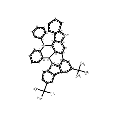 CC(C)(C)c1ccc2c(c1)c1cc(C(C)(C)C)cc3c1n2B1c2ccccc2N(c2ccccc2)c2c1c-3cc1oc3ccccc3c21